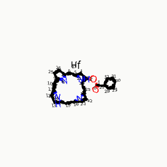 O=C(Oc1cc2cc3nc(cc4ccc(cc5nc(cc1[nH]2)C=C5)[nH]4)C=C3)c1ccccc1.[Hf]